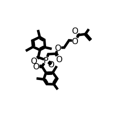 C=C(C)C(=O)OCCOC(=O)CP(=O)(C(=O)c1c(C)cc(C)cc1C)C(=O)c1c(C)cc(C)cc1C